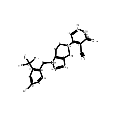 N#Cc1c(N2CCc3c(nnn3Cc3ccc(F)cc3C(F)(F)F)C2)cn[nH]c1=O